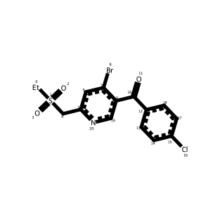 CCS(=O)(=O)Cc1cc(Br)c(C(=O)c2ccc(Cl)cc2)cn1